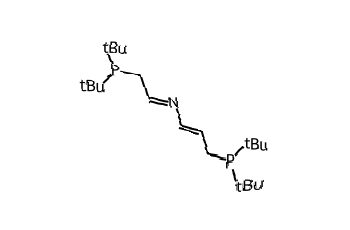 CC(C)(C)P(CC=CN=CCP(C(C)(C)C)C(C)(C)C)C(C)(C)C